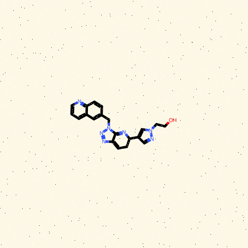 OCCn1cc(C2CC=c3nnn(Cc4ccc5ncccc5c4)c3=N2)cn1